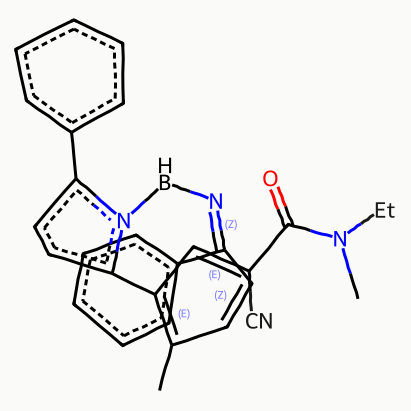 CCN(C)C(=O)/C(C#N)=C/C1=C(C)\C=C/C(c2ccccc2)=N/Bn2c1ccc2-c1ccccc1